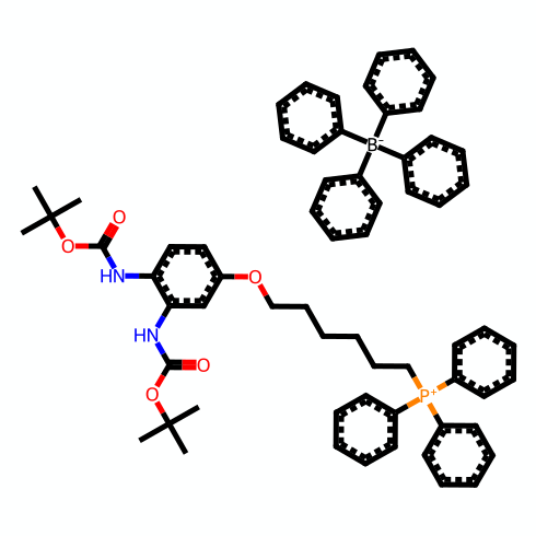 CC(C)(C)OC(=O)Nc1ccc(OCCCCCC[P+](c2ccccc2)(c2ccccc2)c2ccccc2)cc1NC(=O)OC(C)(C)C.c1ccc([B-](c2ccccc2)(c2ccccc2)c2ccccc2)cc1